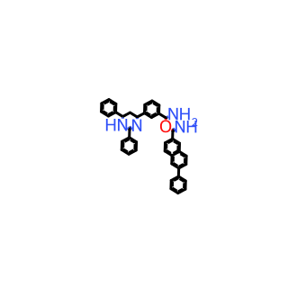 N=C(OC(N)c1cccc(C2CC(c3ccccc3)NC(c3ccccc3)=N2)c1)c1ccc2cc(-c3ccccc3)ccc2c1